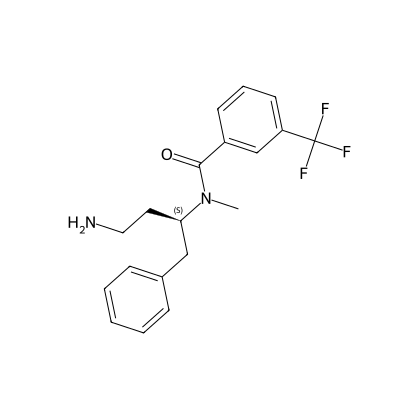 CN(C(=O)c1cccc(C(F)(F)F)c1)[C@H](CCN)Cc1ccccc1